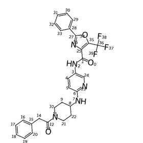 O=C(Nc1ccc(NC2CCN(C(=O)Cc3ccccc3)CC2)nc1)c1nc(-c2ccccc2)oc1C(F)(F)F